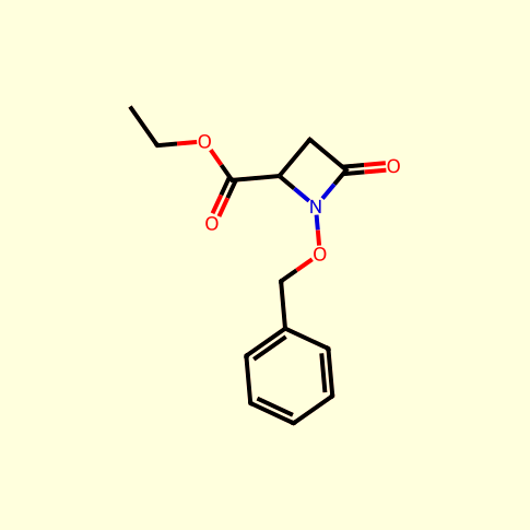 CCOC(=O)C1CC(=O)N1OCc1ccccc1